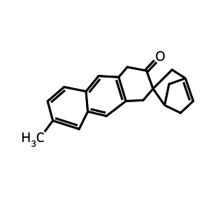 Cc1ccc2cc3c(cc2c1)CC1(CC2=CCC1C2)C(=O)C3